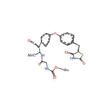 COC(NC(=O)CNC(=O)OC(C)(C)C)C(=C=O)c1ccc(Oc2ccc(C=C3SC(=O)NC3=O)cc2)cc1